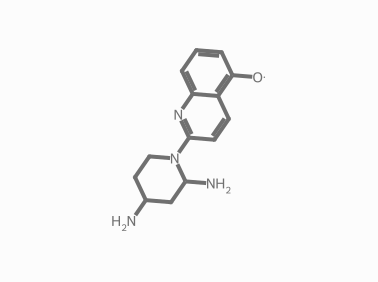 NC1CCN(c2ccc3c([O])cccc3n2)C(N)C1